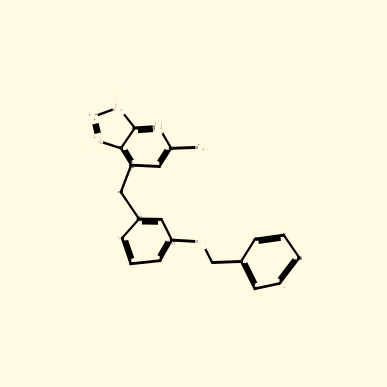 Nc1cc(Cc2cccc(OCc3ccccc3)c2)c2nn[nH]c2n1